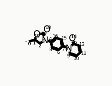 [CH2]C1CN(c2ccc(-n3ccccc3=O)cc2)C(=O)O1